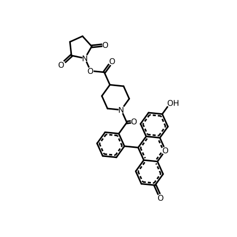 O=C(ON1C(=O)CCC1=O)C1CCN(C(=O)c2ccccc2-c2c3ccc(=O)cc-3oc3cc(O)ccc23)CC1